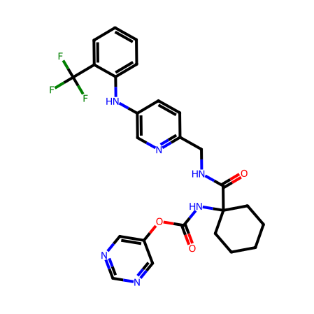 O=C(NC1(C(=O)NCc2ccc(Nc3ccccc3C(F)(F)F)cn2)CCCCC1)Oc1cncnc1